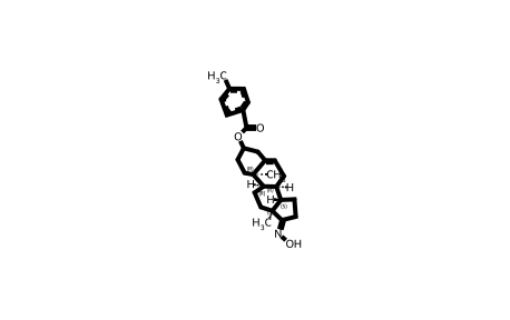 Cc1ccc(C(=O)OC2CC[C@@]3(C)C(=CC[C@@H]4[C@H]3CC[C@]3(C)C(=NO)CC[C@@H]43)C2)cc1